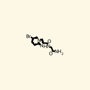 NC(=O)CNC(=O)c1cn2cc(Br)ccc2n1